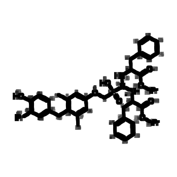 Cc1cc(OCP(=O)(O)N(NC(Cc2ccccc2)C(=O)OC(C)C)NC(Cc2ccccc2)C(=O)OC(C)C)cc(C)c1Cc1ccc(O)c(C(C)C)c1